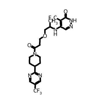 CC(COCCC(=O)N1CCC(c2ncc(C(F)(F)F)cn2)CC1)Nc1cn[nH]c(=O)c1C(F)(F)F